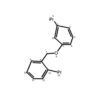 CC(C)c1cccc(OCc2ccccc2C(C)C)c1